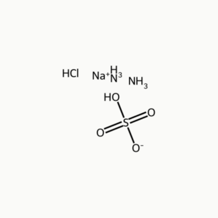 Cl.N.N.O=S(=O)([O-])O.[Na+]